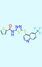 O=C(Nc1nnc(Sc2ccnc3ccc(C(F)(F)F)cc23)s1)c1cccs1